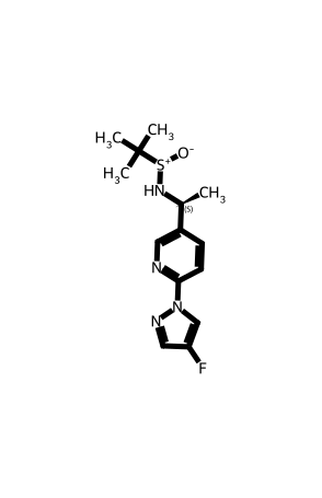 C[C@H](N[S+]([O-])C(C)(C)C)c1ccc(-n2cc(F)cn2)nc1